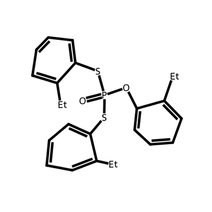 CCc1ccccc1OP(=O)(Sc1ccccc1CC)Sc1ccccc1CC